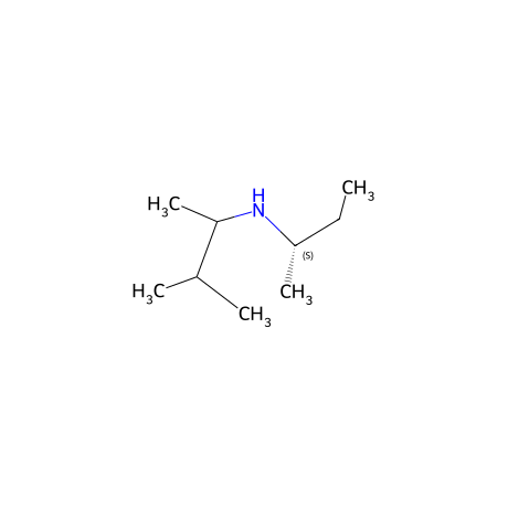 CC[C@H](C)NC(C)C(C)C